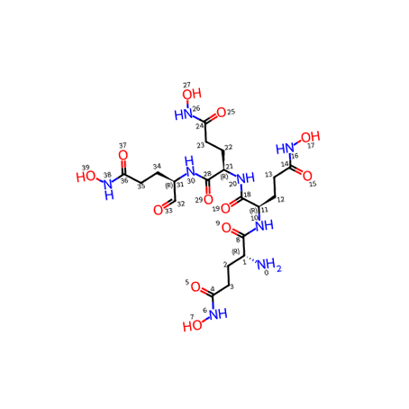 N[C@H](CCC(=O)NO)C(=O)N[C@H](CCC(=O)NO)C(=O)N[C@H](CCC(=O)NO)C(=O)N[C@@H](C=O)CCC(=O)NO